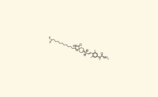 Cc1cc(N(C)C(N)=O)cc(C)c1/C=C/S(=O)(=O)N1CCC2(CC1)N=C(CCCCCCCCCCC(F)F)NC2=O